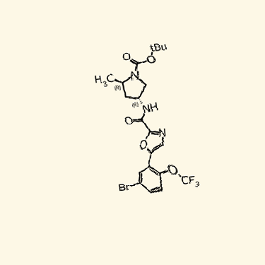 C[C@@H]1C[C@@H](NC(=O)c2ncc(-c3cc(Br)ccc3OC(F)(F)F)o2)CN1C(=O)OC(C)(C)C